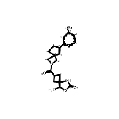 CC1OC(=O)NC12CC(C(=O)N1CC3(CCC(c4cccc(C(C)(C)C)c4)C3)C1)C2